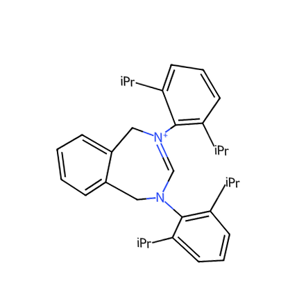 CC(C)c1cccc(C(C)C)c1N1C=[N+](c2c(C(C)C)cccc2C(C)C)Cc2ccccc2C1